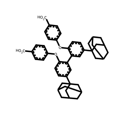 O=C(O)c1ccc(Oc2ccc(C34CC5CC(CC(C5)C3)C4)cc2-c2cc(C34CC5CC(CC(C5)C3)C4)ccc2Oc2ccc(C(=O)O)cc2)cc1